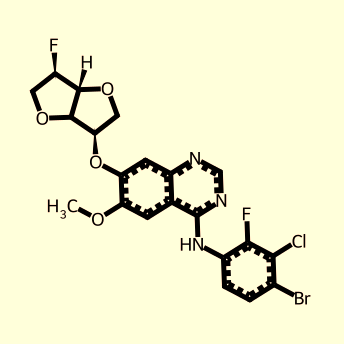 COc1cc2c(Nc3ccc(Br)c(Cl)c3F)ncnc2cc1O[C@@H]1CO[C@@H]2C1OC[C@H]2F